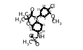 COc1cc(N2C(=O)C(C)(C)Oc3cc(NS(C)(=O)=O)ccc32)ccc1Cl